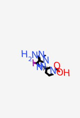 Nc1ncnc2c1c(I)nn2[C@@H]1CCCN(C(=O)O)C1